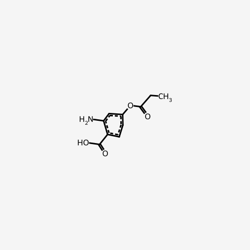 CCC(=O)Oc1ccc(C(=O)O)c(N)c1